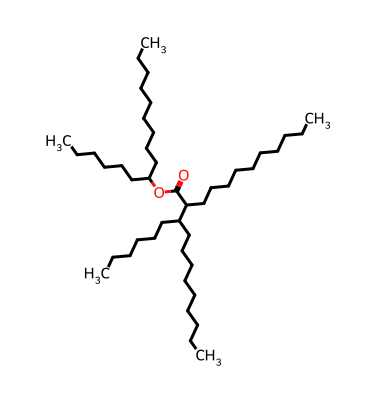 CCCCCCCCCCC(C(=O)OC(CCCCCC)CCCCCCCCC)C(CCCCCC)CCCCCCCCC